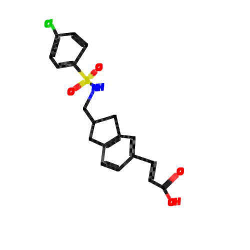 O=C(O)/C=C/c1ccc2c(c1)CC(CNS(=O)(=O)c1ccc(Cl)cc1)C2